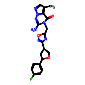 Cc1cnn2nc(N)n(Cc3nc(C4COC(c5ccc(F)cc5)C4)no3)c(=O)c12